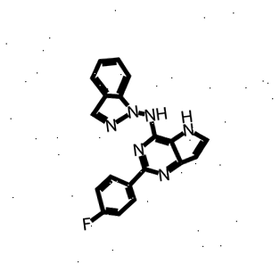 Fc1ccc(-c2nc(Nn3ncc4ccccc43)c3[nH]ccc3n2)cc1